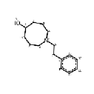 OC1CCCN(CCc2ccccc2)CCC1